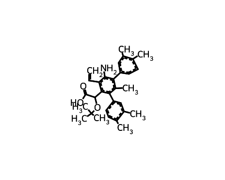 C=Cc1c(N)c(-c2ccc(C)c(C)c2)c(C)c(-c2ccc(C)c(C)c2)c1C(OC(C)(C)C)C(=O)O